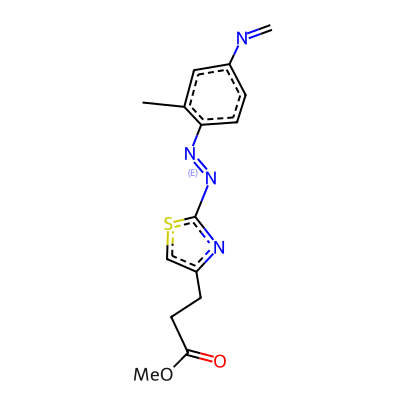 C=Nc1ccc(/N=N/c2nc(CCC(=O)OC)cs2)c(C)c1